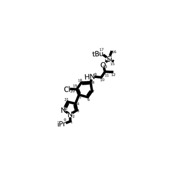 CC(C)Cn1cc(-c2ccc(NCC(C)O[Si](C)(C)C(C)(C)C)cc2Cl)cn1